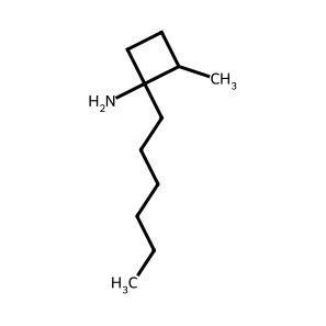 CCCCCCC1(N)CCC1C